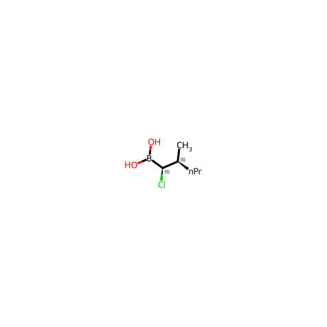 CCC[C@H](C)[C@@H](Cl)B(O)O